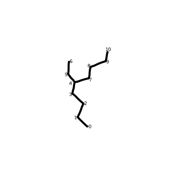 CCCC[C](CC)CCCC